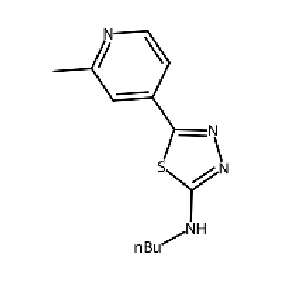 CCCCNc1nnc(-c2ccnc(C)c2)s1